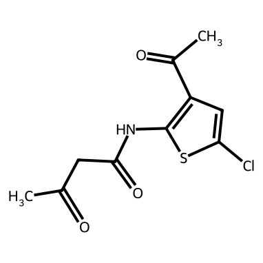 CC(=O)CC(=O)Nc1sc(Cl)cc1C(C)=O